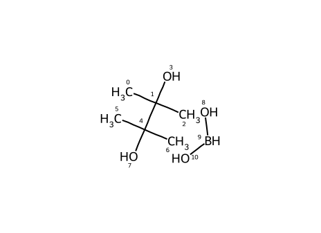 CC(C)(O)C(C)(C)O.OBO